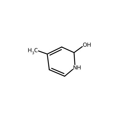 CC1=CC(O)NC=C1